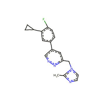 Cc1nccn1Cc1cc(-c2ccc(F)c(C3CC3)c2)cnn1